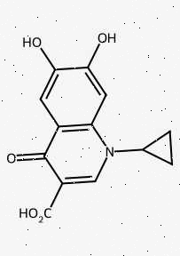 O=C(O)c1cn(C2CC2)c2cc(O)c(O)cc2c1=O